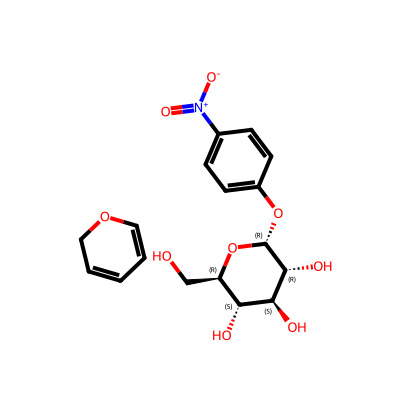 C1=CCOC=C1.O=[N+]([O-])c1ccc(O[C@H]2O[C@H](CO)[C@@H](O)[C@H](O)[C@H]2O)cc1